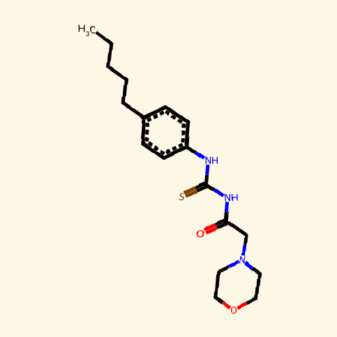 CCCCCc1ccc(NC(=S)NC(=O)CN2CCOCC2)cc1